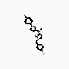 CN(c1ncn(Cc2ccc(Cl)cc2)n1)C1CCN(c2ccc(F)cc2)C1